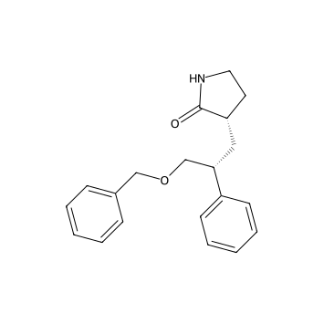 O=C1NCC[C@@H]1C[C@@H](COCc1ccccc1)c1ccccc1